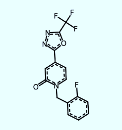 O=c1cc(-c2nnc(C(F)(F)F)o2)ccn1Cc1ccccc1F